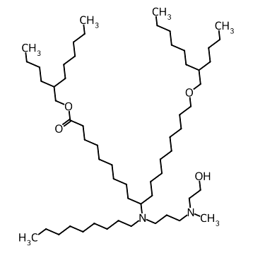 CCCCCCCCCN(CCCN(C)CCO)C(CCCCCCCCCOCC(CCCC)CCCCCC)CCCCCCCCC(=O)OCC(CCCC)CCCCCC